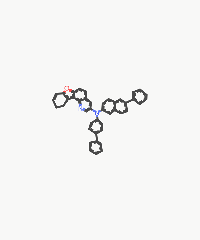 C1=Cc2oc3ccc4cc(N(c5ccc(-c6ccccc6)cc5)c5ccc6cc(-c7ccccc7)ccc6c5)cnc4c3c2CC1